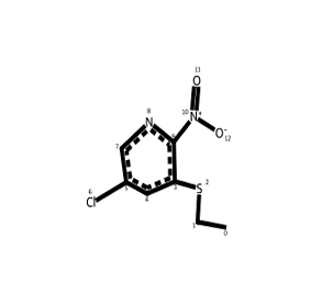 CCSc1cc(Cl)cnc1[N+](=O)[O-]